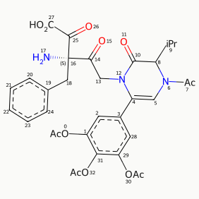 CC(=O)Oc1cc(C2=CN(C(C)=O)C(C(C)C)C(=O)N2CC(=O)[C@@](N)(Cc2ccccc2)C(=O)C(=O)O)cc(OC(C)=O)c1OC(C)=O